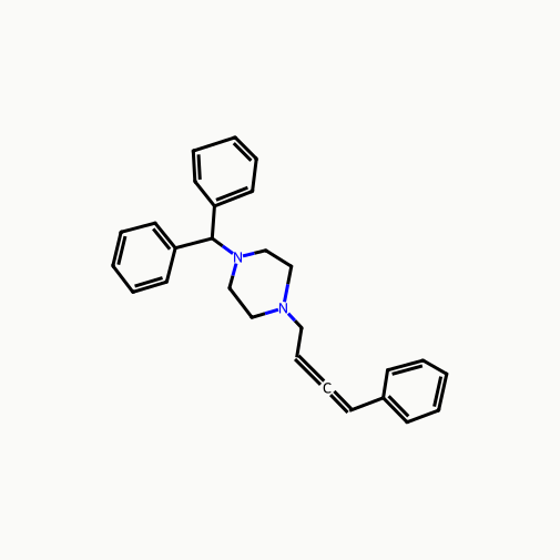 C(=CCN1CCN(C(c2ccccc2)c2ccccc2)CC1)=Cc1ccccc1